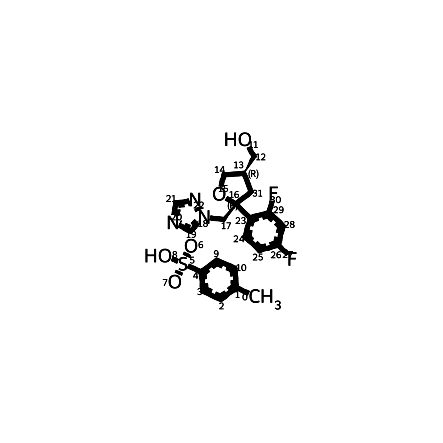 Cc1ccc(S(=O)(=O)O)cc1.OC[C@@H]1CO[C@@](Cn2cncn2)(c2ccc(F)cc2F)C1